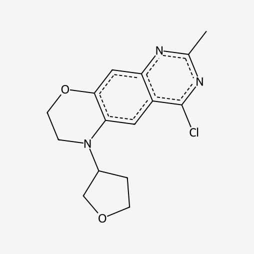 Cc1nc(Cl)c2cc3c(cc2n1)OCCN3C1CCOC1